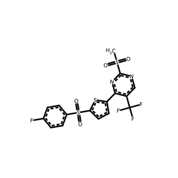 CS(=O)(=O)c1ncc(C(F)(F)F)c(-c2ccc(S(=O)(=O)c3ccc(F)cc3)s2)n1